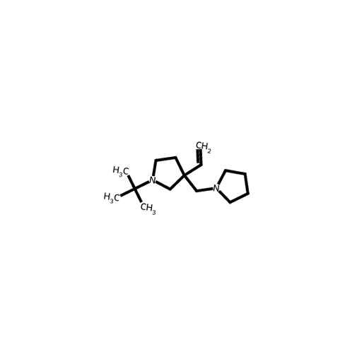 C=CC1(CN2CCCC2)CCN(C(C)(C)C)C1